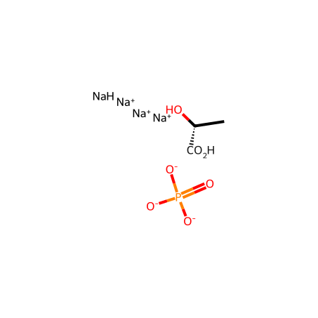 C[C@@H](O)C(=O)O.O=P([O-])([O-])[O-].[Na+].[Na+].[Na+].[NaH]